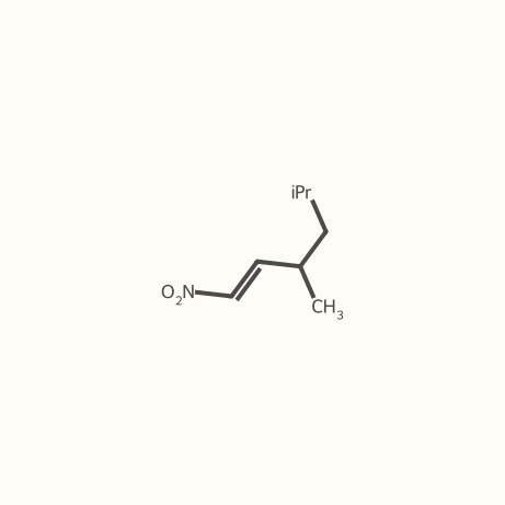 CC(C)CC(C)C=C[N+](=O)[O-]